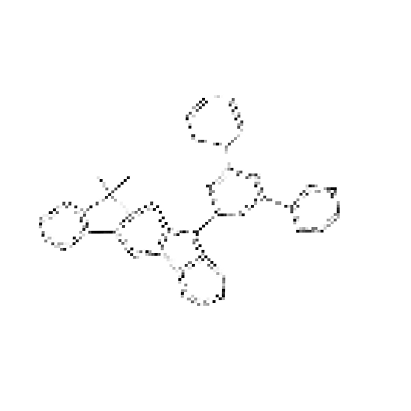 CC1(C)c2ccccc2-c2cc3c4ccccc4n(-c4nc(-c5ccccc5)nc(C5C=CC=CC5)n4)c3cc21